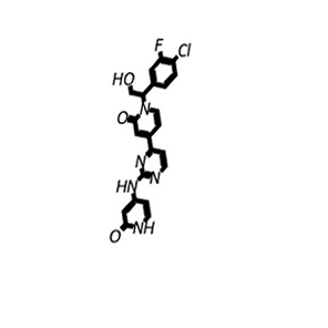 O=c1cc(Nc2nccc(-c3ccn(C(CO)c4ccc(Cl)c(F)c4)c(=O)c3)n2)cc[nH]1